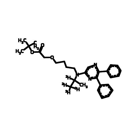 [2H]C([2H])([2H])C([2H])(C)N(CCCCOCC(=O)OC(C)(C)C)c1cnc(-c2ccccc2)c(-c2ccccc2)n1